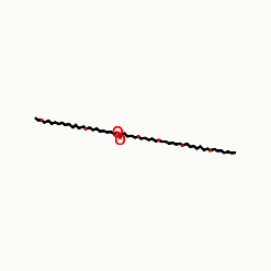 CCCCCCCCCCCCCCCCCCCCCCCCCCCCCCCCCC(=O)OCCCCCCCCCCCCCCCCCCCCCCCC